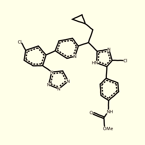 COC(=O)Nc1ccc(-c2[nH]c(C(CC3CC3)c3ccc(-c4cc(Cl)ccc4-n4cnnn4)cn3)nc2Cl)cc1